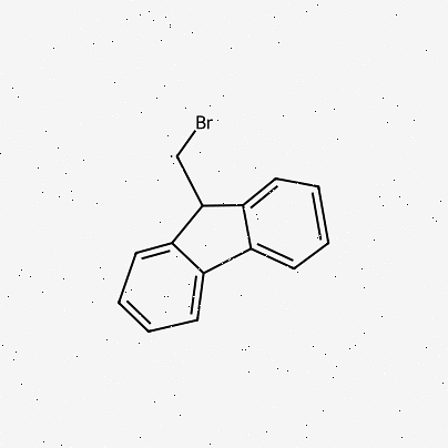 Br[CH]C1c2ccccc2-c2ccccc21